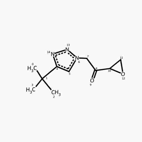 CC(C)(C)c1cn(CC(=O)C2CO2)nn1